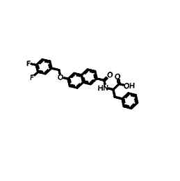 O=C(NC(Cc1ccccc1)C(=O)O)c1ccc2cc(OCc3ccc(F)c(F)c3)ccc2c1